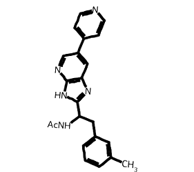 CC(=O)NC(Cc1cccc(C)c1)c1nc2cc(-c3ccncc3)cnc2[nH]1